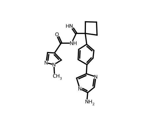 Cn1cc(C(=O)NC(=N)C2(c3ccc(-c4cnc(N)cn4)cc3)CCC2)cn1